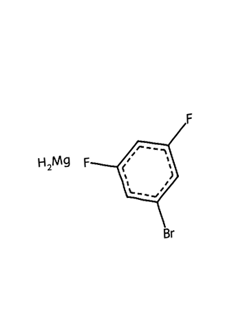 Fc1cc(F)cc(Br)c1.[MgH2]